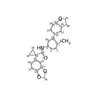 Cc1ccc(NC(=O)C2(c3ccc4c(c3)OCO4)CC2)cc1-c1ccc2c(c1)CCO2